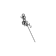 CCCCCCCCCCCCCCCCCCC1CCC[C@]1(C(N)=O)C(=O)OC[C@H]1OC(=O)[C@H]1CC